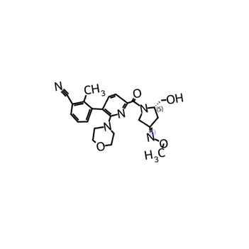 CO/N=C1\C[C@@H](CO)N(C(=O)c2ccc(-c3cccc(C#N)c3C)c(N3CCOCC3)n2)C1